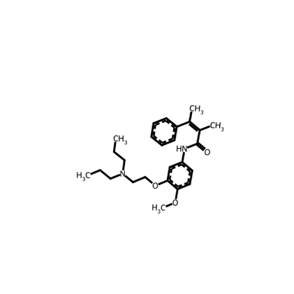 CCCN(CCC)CCOc1cc(NC(=O)C(C)=C(C)c2ccccc2)ccc1OC